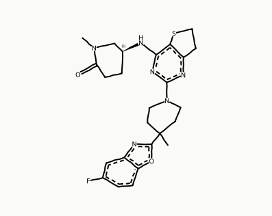 CN1C[C@@H](Nc2nc(N3CCC(C)(c4nc5cc(F)ccc5o4)CC3)nc3c2SCC3)CCC1=O